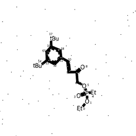 CCOP(=O)(CC)OCC(=O)C=Cc1cc(C(C)(C)C)cc(C(C)(C)C)c1